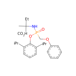 CCC(C)(NP(=O)(COc1ccccc1)Oc1c(C(C)C)cccc1C(C)C)C(=O)O